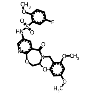 COc1ccc(CN2C(=O)c3cc(NS(=O)(=O)c4cc(F)ccc4OC)cnc3OC[C@@H]2C)c(OC)c1